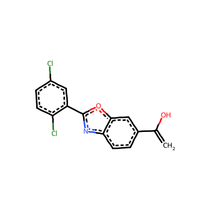 C=C(O)c1ccc2nc(-c3cc(Cl)ccc3Cl)oc2c1